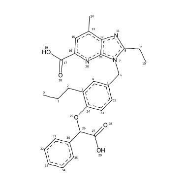 CCCc1cc(Cn2c(CC)nc3c(C)cc(C(=O)O)nc32)ccc1OC(C(=O)O)c1ccccc1